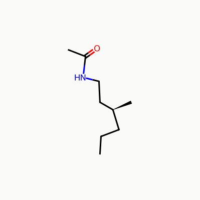 CCC[C@H](C)CCNC(C)=O